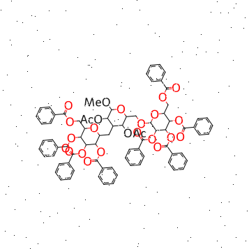 COC1OC(COC2OC(COC(=O)c3ccccc3)C(OC(=O)c3ccccc3)C(OC(=O)c3ccccc3)C2OC(=O)c2ccccc2)C(OC(C)=O)C(CC2OC(COC(=O)c3ccccc3)C(OC(=O)c3ccccc3)C(OC(=O)c3ccccc3)C2OC(=O)c2ccccc2)C1OC(C)=O